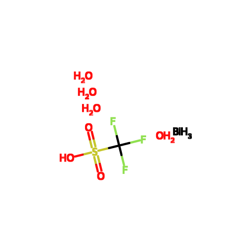 O.O.O.O.O=S(=O)(O)C(F)(F)F.[BiH3]